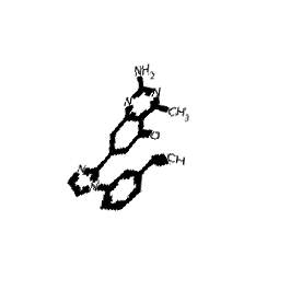 C#Cc1cccc(-n2ccnc2C2CC(=O)c3c(C)nc(N)nc3C2)c1